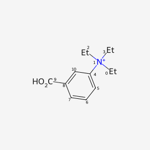 CC[N+](CC)(CC)c1cccc(C(=O)O)c1